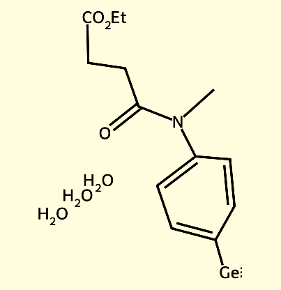 CCOC(=O)CCC(=O)N(C)c1cc[c]([Ge])cc1.O.O.O